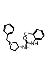 O=C(Nc1ccccc1Cl)N[C@H]1CCN(Cc2ccccc2)C1